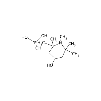 CN1C(C)(C)CC(O)CC1(C)C.OP(O)O